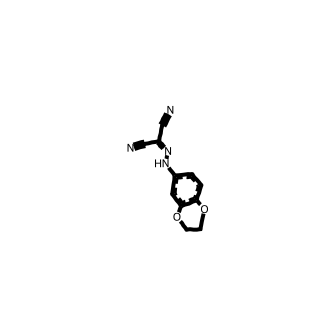 N#CC(C#N)=NNc1ccc2c(c1)OCCO2